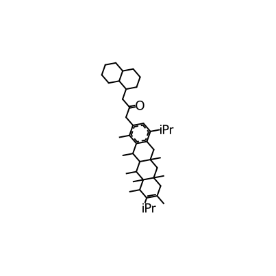 CC1=C(C(C)C)C(C)C2(C)C(C)C3C(C)c4c(C)c(CC(=O)CC5CCCC6CCCCC65)cc(C(C)C)c4CC3(C)CC2(C)C1